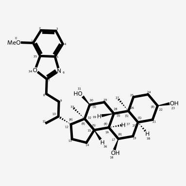 COc1cccc2nc(CCC(C)[C@H]3CC[C@H]4[C@@H]5[C@H](O)C[C@@H]6C[C@H](O)CC[C@]6(C)[C@H]5C[C@H](O)[C@]34C)oc12